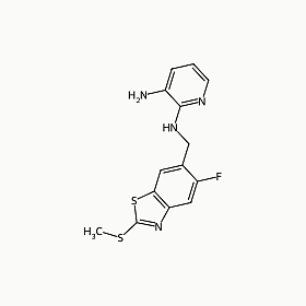 CSc1nc2cc(F)c(CNc3ncccc3N)cc2s1